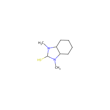 CN1C2CCCCC2N(C)C1S